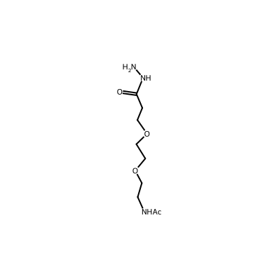 CC(=O)NCCOCCOCCC(=O)NN